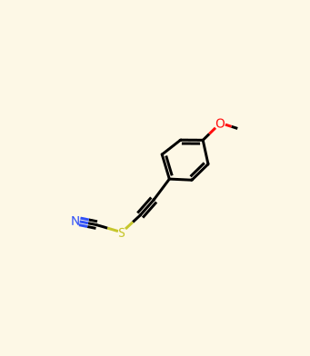 COc1ccc(C#CSC#N)cc1